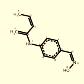 C=C(/C=C\C)Nc1ccc(/C=N\O)cc1